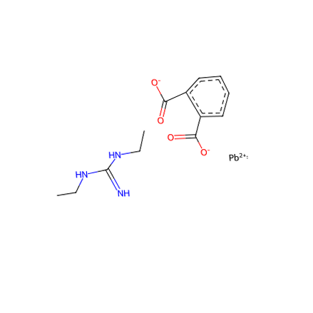 CCNC(=N)NCC.O=C([O-])c1ccccc1C(=O)[O-].[Pb+2]